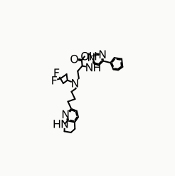 O=C(O)C(CCN(CCCCc1ccc2c(n1)NCCC2)C1CC(F)(F)C1)Nc1cc(-c2ccccc2)ncn1